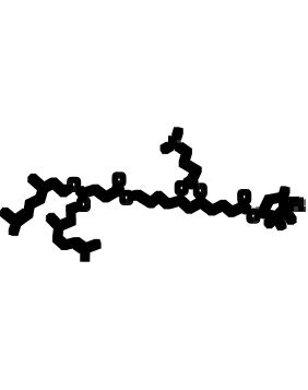 CCC1(C)C(C)C[C@@H](OC(=O)CCCC(CCCCCCOC(=O)CCC(OCCC(C)CCC=C(C)C)OCCC(C)CCC=C(C)C)OC(=O)CCCN(C)C)C1(C)C